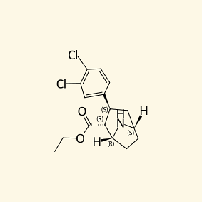 CCOC(=O)[C@@H]1[C@@H](c2ccc(Cl)c(Cl)c2)C[C@@H]2CC[C@H]1N2